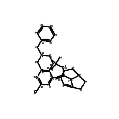 CC(C)(C)OC(=O)N1C2=CN(c3nc(Cl)nc4c3CCN(Cc3ccccc3)C4)CCC1CC2